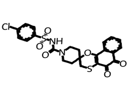 O=C1C(=O)c2ccccc2C2=C1SCC1(CCN(C(=O)NS(=O)(=O)c3ccc(Cl)cc3)CC1)O2